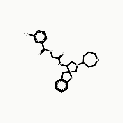 O=C(CNC(=O)c1cccc(C(F)(F)F)c1)NC1CN(C2CCCOCC2)C[C@@]12Cc1ccccc1O2